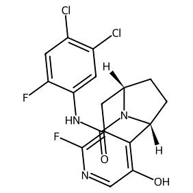 O=C(Nc1cc(Cl)c(Cl)cc1F)N1[C@H]2CC[C@@H]1c1c(O)cnc(F)c1C2